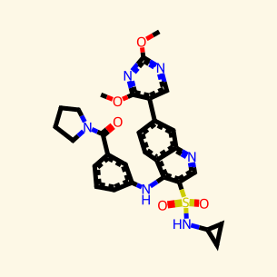 COc1ncc(-c2ccc3c(Nc4cccc(C(=O)N5CCCC5)c4)c(S(=O)(=O)NC4CC4)cnc3c2)c(OC)n1